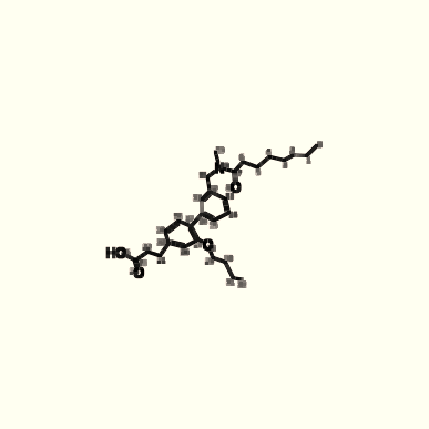 CCCCCCCC(=O)N(C)Cc1cccc(-c2ccc(CCC(=O)O)cc2OCCCC)c1